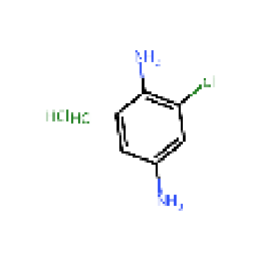 Cl.Cl.Nc1ccc(N)c(Cl)c1